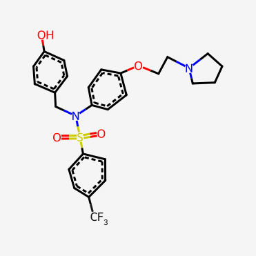 O=S(=O)(c1ccc(C(F)(F)F)cc1)N(Cc1ccc(O)cc1)c1ccc(OCCN2CCCC2)cc1